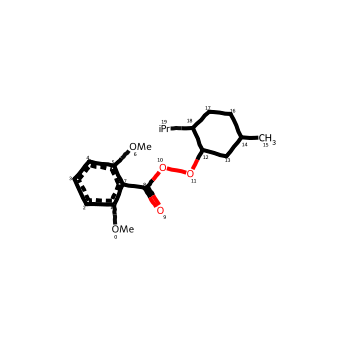 COc1cccc(OC)c1C(=O)OO[C]1CC(C)CCC1C(C)C